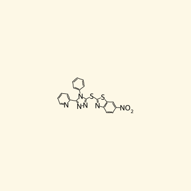 O=[N+]([O-])c1ccc2nc(Sc3nnc(-c4ccccn4)n3-c3ccccc3)sc2c1